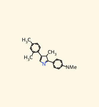 CNc1ccc(C2=NC=C(c3ccc(C)cc3C)C2C)cc1